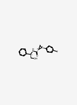 O=C(N[C@@H](CO)c1ccccc1)[C@@H]1C[C@H]1c1ccc(F)cc1